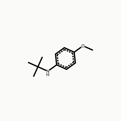 COc1ccc(NC(C)(C)C)cc1